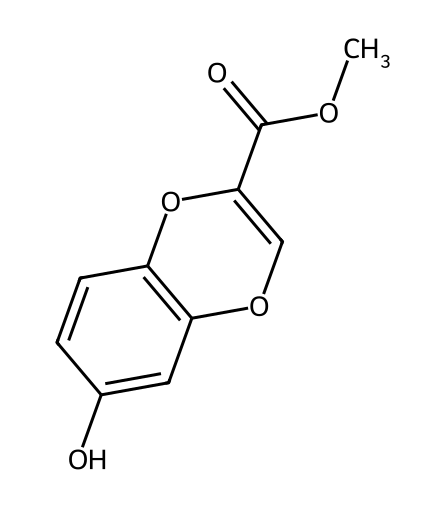 COC(=O)C1=COc2cc(O)ccc2O1